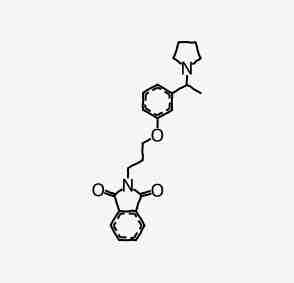 CC(c1cccc(OCCCN2C(=O)c3ccccc3C2=O)c1)N1CCCC1